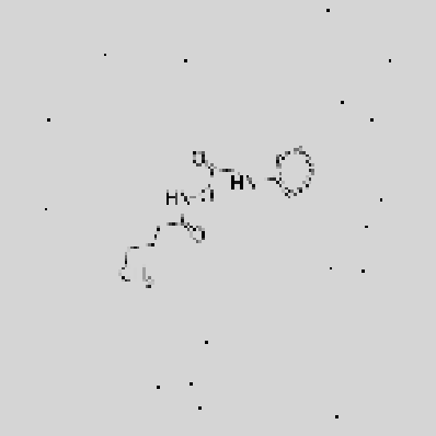 CCCCC(=O)NOC(=O)CNc1ccccc1